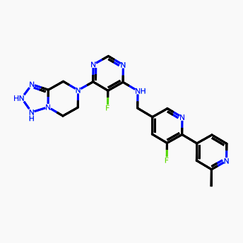 Cc1cc(-c2ncc(CNc3ncnc(N4CCN5NNN=C5C4)c3F)cc2F)ccn1